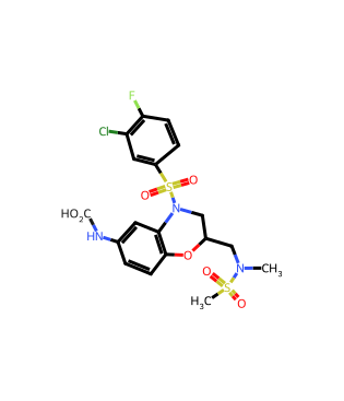 CN(CC1CN(S(=O)(=O)c2ccc(F)c(Cl)c2)c2cc(NC(=O)O)ccc2O1)S(C)(=O)=O